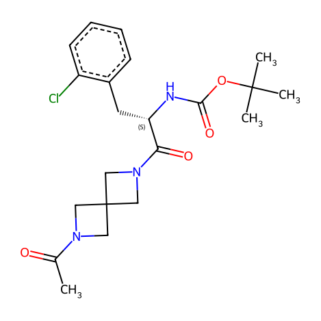 CC(=O)N1CC2(C1)CN(C(=O)[C@H](Cc1ccccc1Cl)NC(=O)OC(C)(C)C)C2